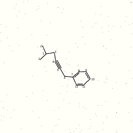 CC(C)CC#CCc1ccccc1